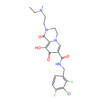 CCN(C)CCN1CCn2cc(C(=O)NCc3ccc(F)c(Cl)c3F)c(=O)c(O)c2C1=O